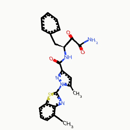 Cc1cccc2sc(-n3nc(C(=O)N[C@@H](Cc4ccccc4)C(=O)C(N)=O)cc3C)nc12